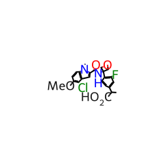 COc1ccc2c(cc(C(=O)NC3(c4ccc(C(C)C(=O)O)cc4F)COC3)n2C)c1Cl